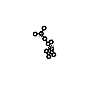 c1ccc(-c2cc(-c3ccccc3)nc(-c3ccc(-c4ccc(-c5ncc6c(n5)C5(c7ccccc7-c7ccccc75)c5ccccc5-6)c5ccccc45)cc3)c2)cc1